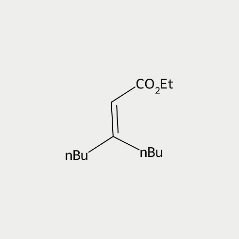 CCCCC(=CC(=O)OCC)CCCC